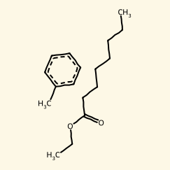 CCCCCCCC(=O)OCC.Cc1ccccc1